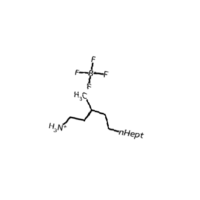 CCCCCCCCCC(C)CC[NH3+].F[B-](F)(F)F